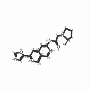 C[C@@H]1CCCN1CC(=O)Nc1cc2cc(-c3cnco3)ncc2cn1